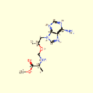 CC(C)OC(=O)[C@H](C)NCO[C@H](C)Cn1cnc2c(N)ncnc21